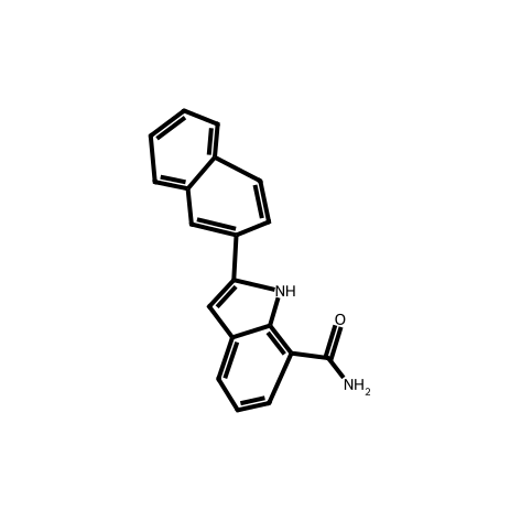 NC(=O)c1cccc2cc(-c3ccc4ccccc4c3)[nH]c12